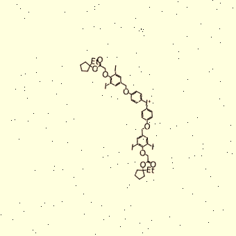 CCC1(OC(=O)COc2c(I)cc(COc3ccc([I+]c4ccc(OCc5cc(I)c(OCC(=O)OC6(CC)CCCC6)c(I)c5)cc4)cc3)cc2I)CCCC1